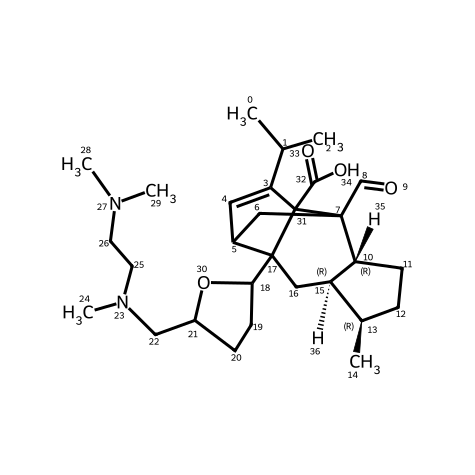 CC(C)C1=CC2CC3(C=O)[C@@H]4CC[C@@H](C)[C@H]4CC2(C2CCC(CN(C)CCN(C)C)O2)C13C(=O)O